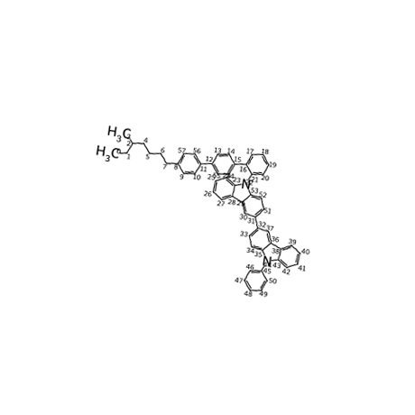 CCC(C)CCCCc1ccc(-c2ccc(-c3ccccc3-n3c4ccccc4c4cc(-c5ccc6c(c5)c5ccccc5n6-c5ccccc5)ccc43)cc2)cc1